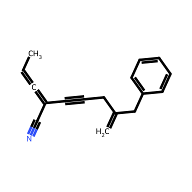 C=C(CC#CC(=C=CC)C#N)Cc1ccccc1